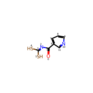 O=C(N=C(S)S)c1cccnc1